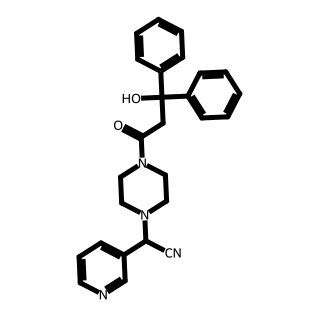 N#CC(c1cccnc1)N1CCN(C(=O)CC(O)(c2ccccc2)c2ccccc2)CC1